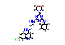 Clc1ccc2c(NCCCNc3nc(Nc4ccccc4)nc(N4CCOCC4)n3)ccnc2c1